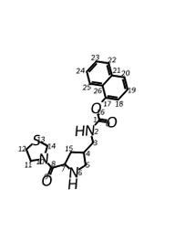 O=C(NCC1CNC(C(=O)N2CCSC2)C1)Oc1cccc2ccccc12